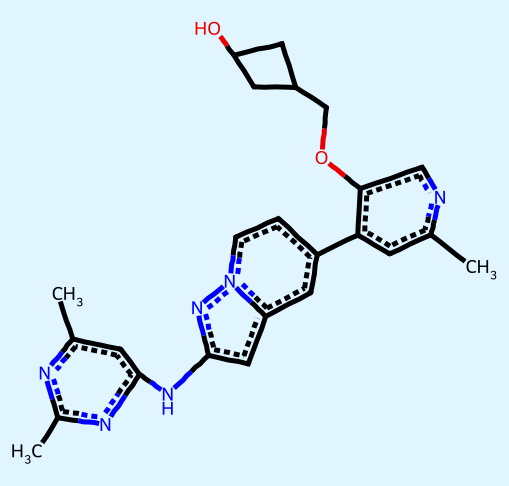 Cc1cc(-c2ccn3nc(Nc4cc(C)nc(C)n4)cc3c2)c(OCC2CC(O)C2)cn1